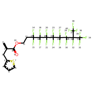 C=C(Cc1cccs1)C(=O)OCCC(F)(F)C(F)(F)C(F)(F)C(F)(F)C(F)(F)C(F)(F)C(F)(C(F)(F)F)C(F)(F)F